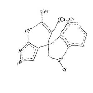 CCCC1=C(C(=O)OCC)C2(C[S+]([O-])c3ccccc32)c2c[nH]nc2N1